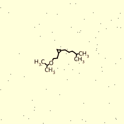 CC(C)CCCC1CC1CCOC(C)C